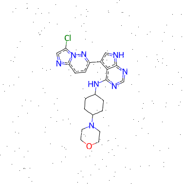 Clc1cnc2ccc(-c3c[nH]c4ncnc(NC5CCC(N6CCOCC6)CC5)c34)nn12